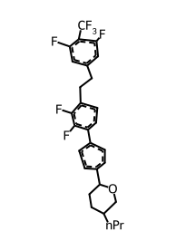 CCCC1CCC(c2ccc(-c3ccc(CCc4cc(F)c(C(F)(F)F)c(F)c4)c(F)c3F)cc2)OC1